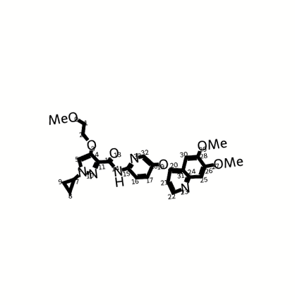 COCCOc1cn(C2CC2)nc1C(=O)Nc1ccc(Oc2ccnc3cc(OC)c(OC)cc23)cn1